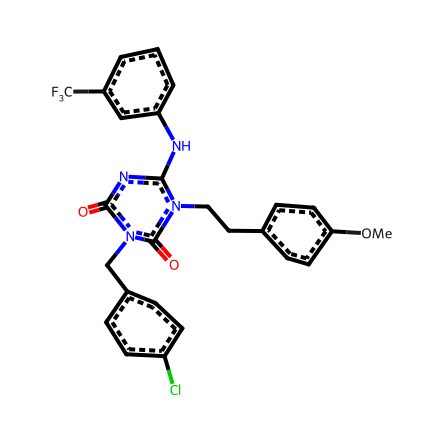 COc1ccc(CCn2c(Nc3cccc(C(F)(F)F)c3)nc(=O)n(Cc3ccc(Cl)cc3)c2=O)cc1